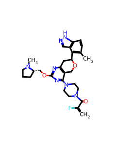 C=C(F)C(=O)N1CCN(c2nc(OC[C@@H]3CCCN3C)nc3c2COC(c2c(C)ccc4[nH]ncc24)C3)CC1